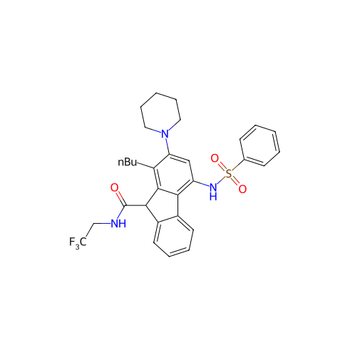 CCCCc1c(N2CCCCC2)cc(NS(=O)(=O)c2ccccc2)c2c1C(C(=O)NCC(F)(F)F)c1ccccc1-2